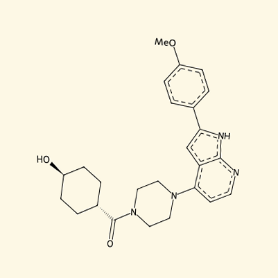 COc1ccc(-c2cc3c(N4CCN(C(=O)[C@H]5CC[C@H](O)CC5)CC4)ccnc3[nH]2)cc1